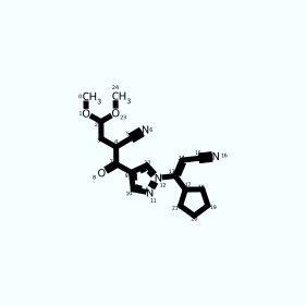 COC(CC(C#N)C(=O)c1cnn(C(=CC#N)C2CCCC2)c1)OC